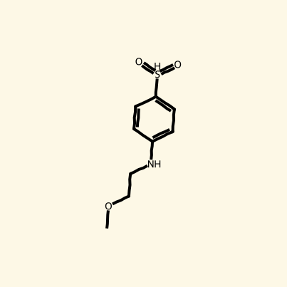 COCCNc1ccc([SH](=O)=O)cc1